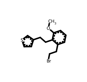 COc1cccc(CCBr)c1CCc1ccsc1